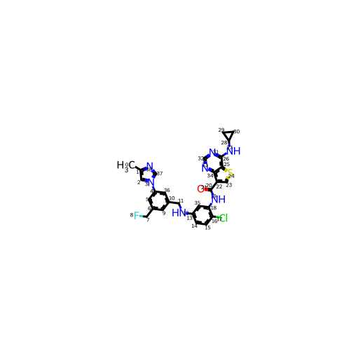 Cc1cn(-c2cc(CF)cc(CNc3ccc(Cl)c(NC(=O)c4csc5c(NC6CC6)ncnc45)c3)c2)cn1